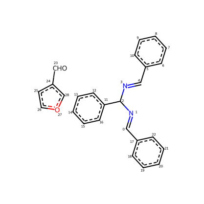 C(=NC(N=Cc1ccccc1)c1ccccc1)c1ccccc1.O=Cc1ccoc1